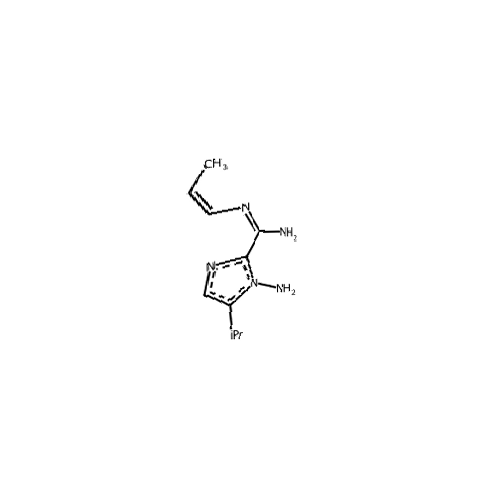 C/C=C\N=C(\N)c1ncc(C(C)C)n1N